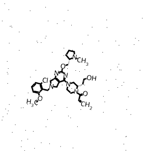 C=CC(=O)N1CCN(c2nc(OC[C@@H]3CCCN3C)nc3c2CN(Cc2c(Cl)cccc2OC)C3)C[C@@H]1CCO